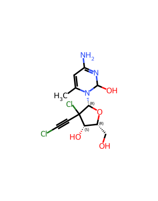 CC1=CC(N)=NC(O)N1[C@@H]1O[C@H](CO)[C@H](O)C1(Cl)C#CCl